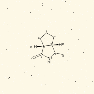 CC1NC(=O)[C@@H]2CCC[C@H]12